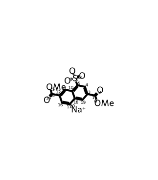 COC(=O)c1cc(S(=O)(=O)[O-])c2cc(C(=O)OC)ccc2c1.[Na+]